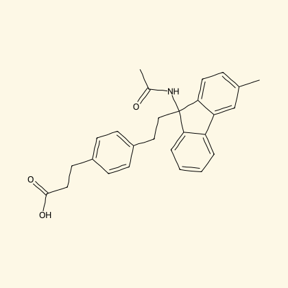 CC(=O)NC1(CCc2ccc(CCC(=O)O)cc2)c2ccccc2-c2cc(C)ccc21